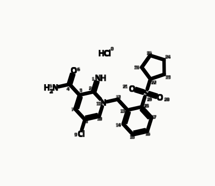 Cl.N=c1c(C(N)=O)cc(Cl)cn1Cc1ccccc1S(=O)(=O)C1CCCC1